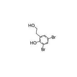 OCCc1cc(Br)cc(Br)c1O